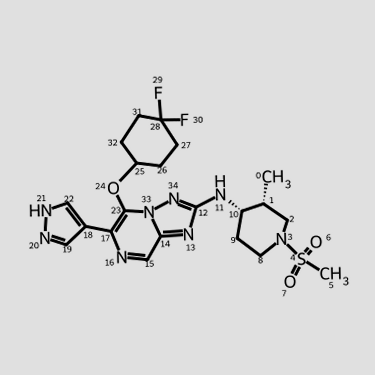 C[C@@H]1CN(S(C)(=O)=O)CC[C@@H]1Nc1nc2cnc(-c3cn[nH]c3)c(OC3CCC(F)(F)CC3)n2n1